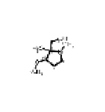 CO[C@@H]1CCN(C)[C@@]1(C)CO